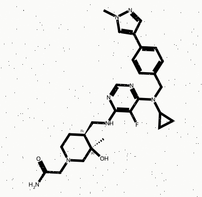 Cn1cc(-c2ccc(CN(c3ncnc(NC[C@@H]4CCN(CC(N)=O)C[C@]4(C)O)c3F)C3CC3)cc2)cn1